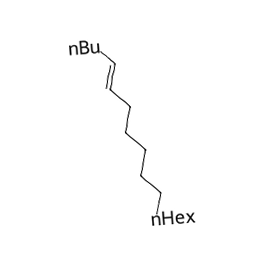 CCCC/C=C/CCCCCCCCCCC